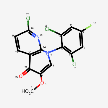 O=C(O)Oc1cn(-c2c(Cl)cc(F)cc2Cl)c2nc(Cl)ccc2c1=O